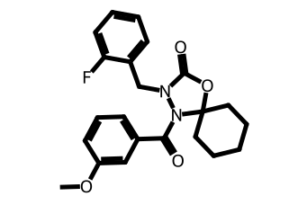 COc1cccc(C(=O)N2N(Cc3ccccc3F)C(=O)OC23CCCCC3)c1